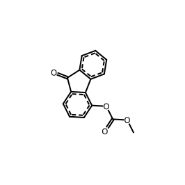 COC(=O)Oc1cccc2c1-c1ccccc1C2=O